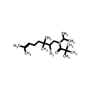 CC(C)=CCCC(C)(C)C(C)CN(C(=O)C(C)(C)C)C(C)C